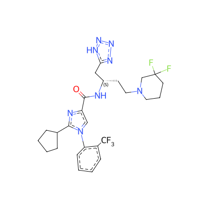 O=C(N[C@@H](CCN1CCCC(F)(F)C1)Cc1nnn[nH]1)c1cn(-c2ccccc2C(F)(F)F)c(C2CCCC2)n1